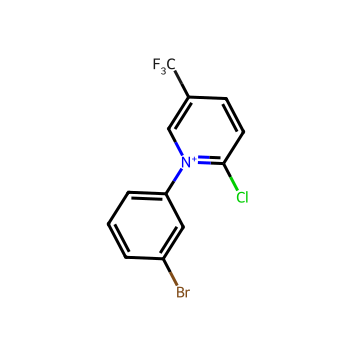 FC(F)(F)c1ccc(Cl)[n+](-c2cccc(Br)c2)c1